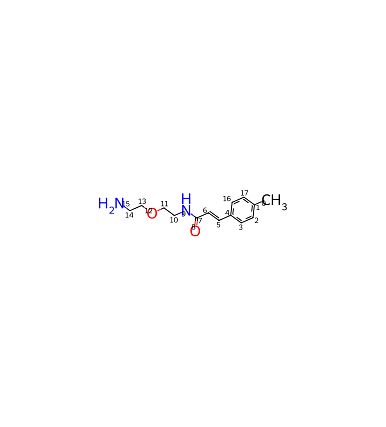 Cc1ccc(/C=C/C(=O)NCCOCCN)cc1